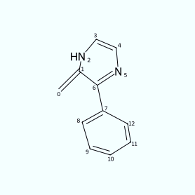 C=C1NC=CN=C1c1ccccc1